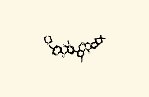 Cn1cc(-c2cc(F)cc(N3CCn4c(cc5c4CC(C)(C)C5)C3=O)c2CO)cc(Nc2ccc(CN3CCOCC3)cn2)c1=O